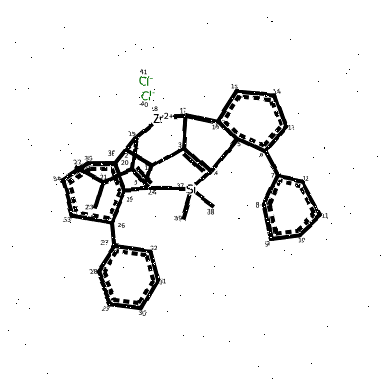 CC(C)C1=C2c3c(-c4ccccc4)cccc3[CH]1[Zr+2][CH]1C(C(C)C)=C(c3c(-c4ccccc4)cccc31)[Si]2(C)C.[Cl-].[Cl-]